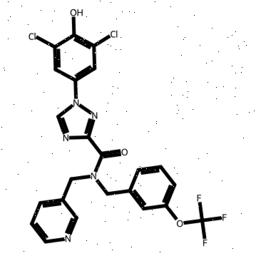 O=C(c1ncn(-c2cc(Cl)c(O)c(Cl)c2)n1)N(Cc1cccnc1)Cc1cccc(OC(F)(F)F)c1